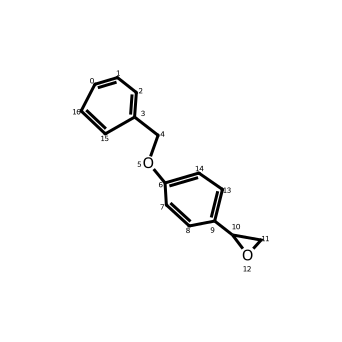 c1ccc(COc2ccc(C3CO3)cc2)cc1